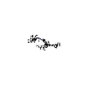 CCNC(=O)NSC[C@@H](C)C/C=C/C[C@@H]1CC[C@H]1CN(CC)c1cc(C(N)=O)ccc1OCCCCc1cccc(Cl)c1